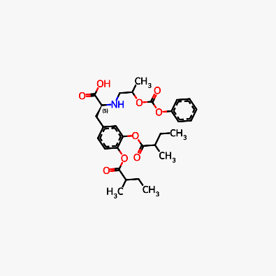 CCC(C)C(=O)Oc1ccc(C[C@H](NCC(C)OC(=O)Oc2ccccc2)C(=O)O)cc1OC(=O)C(C)CC